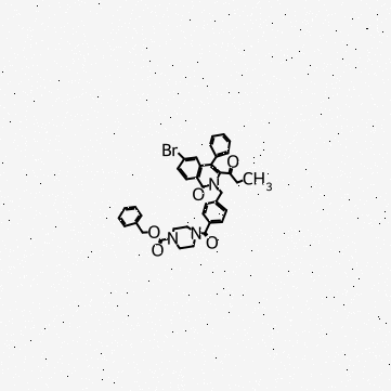 CCC(=O)c1c(-c2ccccc2)c2cc(Br)ccc2c(=O)n1Cc1ccc(C(=O)N2CCN(C(=O)OCc3ccccc3)CC2)cc1